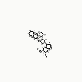 COc1cc2nncc(N3CC(Oc4cnc5ccccc5n4)C(N4CCCC4)C3)c2cc1OC